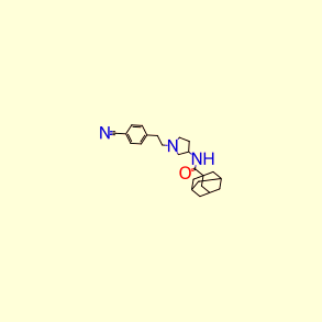 N#Cc1ccc(CCN2CCC(NC(=O)C34CC5CC(CC(C5)C3)C4)C2)cc1